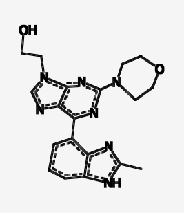 Cc1nc2c(-c3nc(N4CCOCC4)nc4c3ncn4CCO)cccc2[nH]1